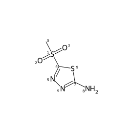 CS(=O)(=O)c1nnc(N)s1